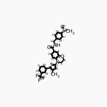 Cc1cc(N2CCOc3cc(C(=O)NCc4ccc([S+](C)[O-])cc4)ccc32)sc1-c1cccc(C(F)(F)F)c1